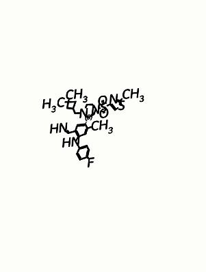 Cc1nc(S(=O)(=O)N2CCN(CC3CC(C)(C)C3)[C@@H](c3cc(C=N)c(Nc4ccc(F)cc4)cc3C)C2)cs1